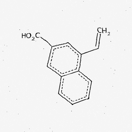 C=Cc1cc(C(=O)O)cc2ccccc12